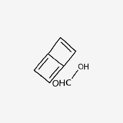 O=CO.c1cc2ccc1-2